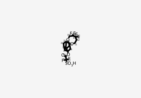 O=C(OC12CC3CC(C1)C1(OCCC(F)(F)C(F)(F)CO1)C(C3)C2)C(F)(F)S(=O)(=O)O